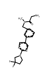 CN(Cc1cccc(-c2cnc(N3CCC(F)(F)C3)nc2)c1)C(=O)CN